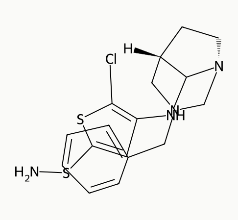 NSc1cc(NC2[C@H]3CC[N@]2CN(Cc2ccccc2)C3)c(Cl)s1